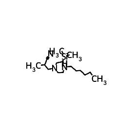 CCCCCCN1CCN(CC(C)C#N)CC1[SiH](C)C